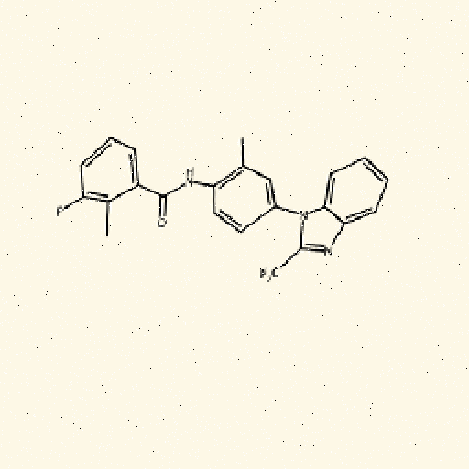 Cc1cc(-n2c(C(F)(F)F)nc3ccccc32)ccc1NC(=O)c1cccc(F)c1C